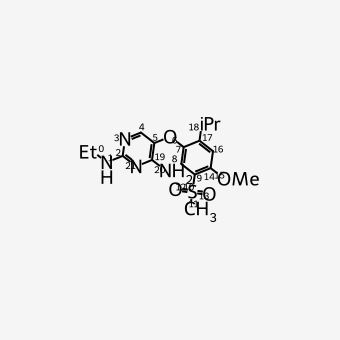 CCNc1ncc(Oc2cc(S(C)(=O)=O)c(OC)cc2C(C)C)c(N)n1